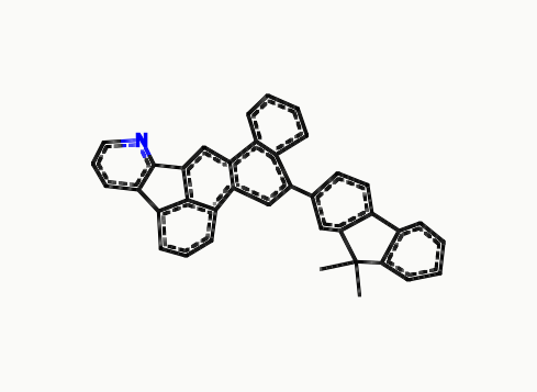 CC1(C)c2ccccc2-c2ccc(-c3cc4c5cccc6c5c(cc4c4ccccc34)-c3ncccc3-6)cc21